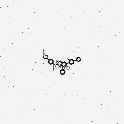 Cc1cc(C2=CCC=C2)ccc1-c1cc2cnc(Nc3ccc(C4CCNC4)cc3)nc2n(-c2ccccc2)c1=O